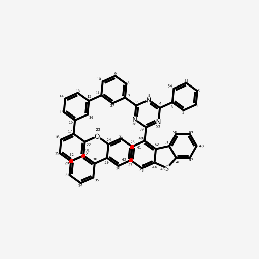 c1ccc(-c2nc(-c3cccc(-c4cccc(-c5ccccc5Oc5ccccc5-c5ccccc5)c4)c3)nc(-c3cccc4sc5ccccc5c34)n2)cc1